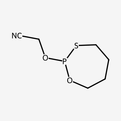 N#CCOP1OCCCCS1